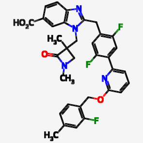 Cc1ccc(COc2cccc(-c3cc(F)c(Cc4nc5ccc(C(=O)O)cc5n4CC4(C)CN(C)C4=O)cc3F)n2)c(F)c1